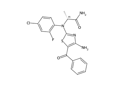 C[C@H](C(N)=O)N(c1nc(N)c(C(=O)c2ccccc2)s1)c1ccc(Cl)cc1F